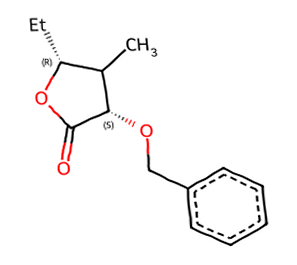 CC[C@H]1OC(=O)[C@@H](OCc2ccccc2)C1C